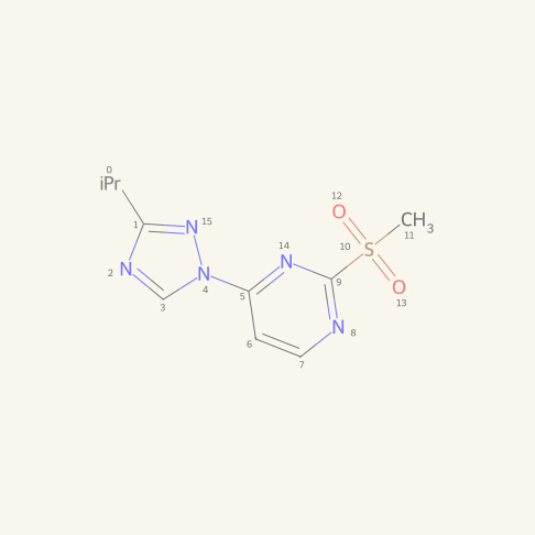 CC(C)c1ncn(-c2ccnc(S(C)(=O)=O)n2)n1